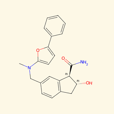 CN(Cc1ccc2c(c1)[C@@H](C(N)=O)[C@H](O)C2)c1ccc(-c2ccccc2)o1